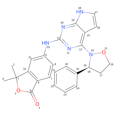 CC1(C)OC(=O)c2ccc(Nc3nc(N4OCC[C@H]4c4ccccc4)c4cc[nH]c4n3)cc21